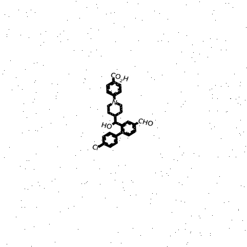 O=Cc1ccc(-c2ccc(Cl)cc2)c(C(O)C2CCN(c3ccc(C(=O)O)cc3)CC2)c1